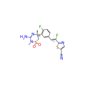 CN1C(N)=N[C@](C)(c2cc(/C=C(\F)c3ncc(C#N)s3)ccc2F)CS1(=O)=O